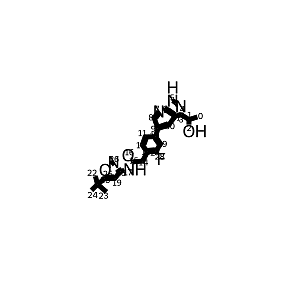 CC(O)c1n[nH]c2ncc(-c3ccc(CC(=O)Nc4cc(C(C)(C)C)on4)c(F)c3)cc12